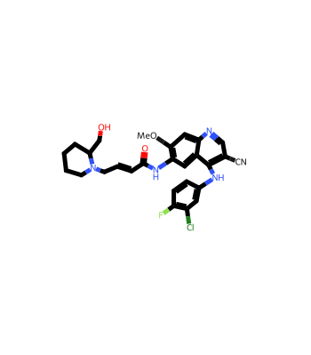 COc1cc2ncc(C#N)c(Nc3ccc(F)c(Cl)c3)c2cc1NC(=O)C=CCN1CCCCC1CO